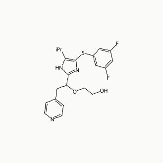 CC(C)c1[nH]c(C(Cc2ccncc2)OCCO)nc1Sc1cc(F)cc(F)c1